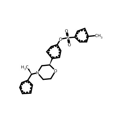 Cc1ccc(S(=O)(=O)Oc2ccc([C@@H]3CN([C@H](C)c4ccccc4)CCO3)cc2)cc1